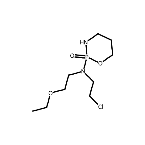 CCOCCN(CCCl)P1(=O)NCCCO1